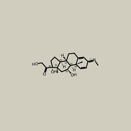 C/N=C1\C=C[C@@]2(C)C(=C1)CC[C@@H]1[C@@H]2[C@@H](O)C[C@@]2(C)[C@H]1CC[C@]2(O)C(=O)CO